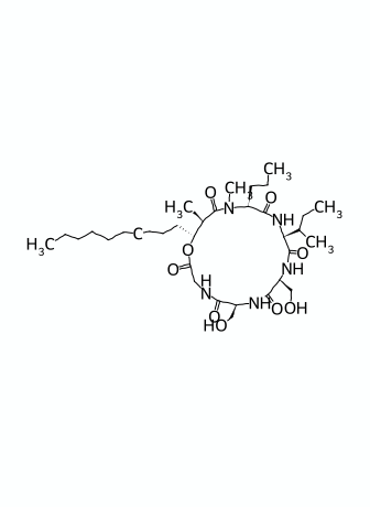 CCCCCCCCCC[C@H]1OC(=O)CNC(=O)[C@H](CO)NC(=O)[C@H](CO)NC(=O)[C@H](C(C)CC)NC(=O)[C@H](CCC)N(C)C(=O)[C@@H]1C